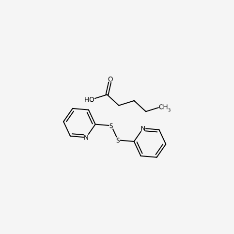 CCCCC(=O)O.c1ccc(SSc2ccccn2)nc1